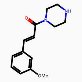 COc1cccc(C=CC(=O)N2CCNCC2)c1